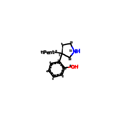 CCCCCC1(c2ccccc2O)CCNC1